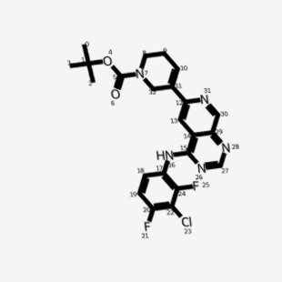 CC(C)(C)OC(=O)N1CCC=C(c2cc3c(Nc4ccc(F)c(Cl)c4F)ncnc3cn2)C1